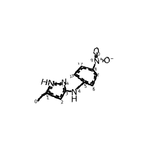 Cc1cc(Nc2ccc([N+](=O)[O-])cc2)n[nH]1